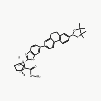 CC(C)(C)OC(=O)N1[C@@H]2CC[C@H](C2)[C@@H]1c1nc2ccc(-c3ccc4c(c3)OCc3cc(B5OC(C)(C)C(C)(C)O5)ccc3-4)cc2[nH]1